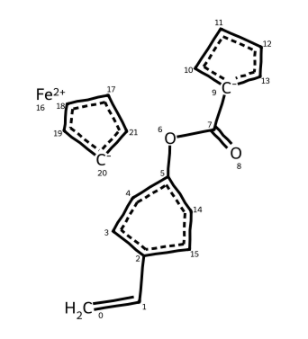 C=Cc1ccc(OC(=O)[c-]2cccc2)cc1.[Fe+2].c1cc[cH-]c1